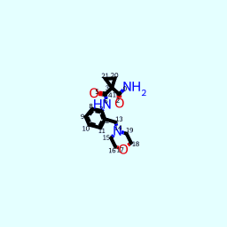 NC(=O)C1(C(=O)Nc2ccccc2CN2CCOCC2)CC1